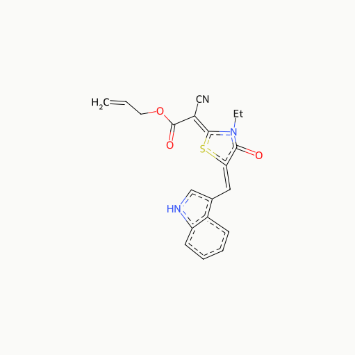 C=CCOC(=O)/C(C#N)=c1\s/c(=C\c2c[nH]c3ccccc23)c(=O)n1CC